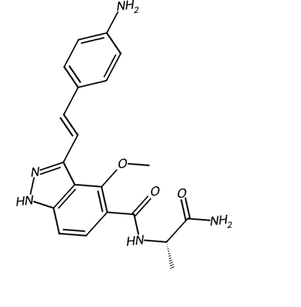 COc1c(C(=O)N[C@@H](C)C(N)=O)ccc2[nH]nc(/C=C/c3ccc(N)cc3)c12